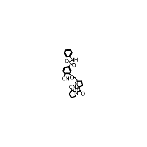 N#Cc1ccc(S(=O)(=O)Nc2ccccc2)cc1OC[C@H]1CC[C@@H](C(=O)N2CCC[C@H]2C#N)N1